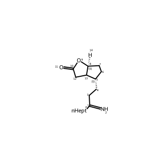 CCCCCCCC(=N)CC[C@H]1CC[C@@H]2OC(=O)CC12